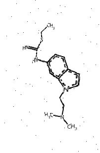 CCSC(=N)Nc1ccc2ccn(CCN(C)C)c2c1